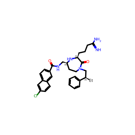 CC[C@H](CN1CC[C@@H](CNC(=O)c2ccc3cc(Cl)ccc3c2)N[C@@H](CCCC(=N)N)C1=O)c1ccccc1